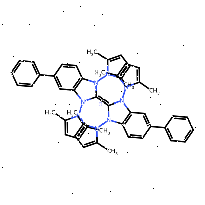 Cc1ccc(C)n1N1/C(=C2/N(n3c(C)ccc3C)c3ccc(-c4ccccc4)cc3N2n2c(C)ccc2C)N(n2c(C)ccc2C)c2cc(-c3ccccc3)ccc21